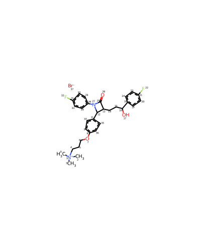 C[N+](C)(C)CCCOc1ccc(C2C(CCC(O)c3ccc(F)cc3)C(=O)N2c2ccc(F)cc2)cc1.[Br-]